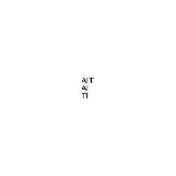 [Al].[Al].[Ti].[Ti]